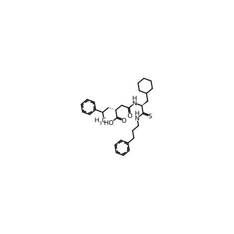 CC(C[C@H](CC(=O)N[C@@H](CC1CCCCC1)C(=S)NCCCc1ccccc1)C(=O)O)c1ccccc1